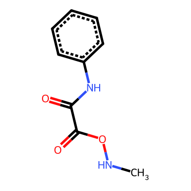 CNOC(=O)C(=O)Nc1ccccc1